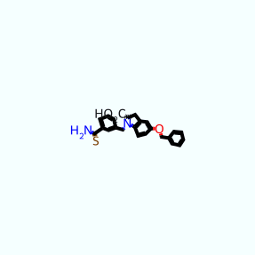 NC(=S)c1cccc(CN2c3ccc(OCc4ccccc4)cc3C[C@@H]2C(=O)O)c1